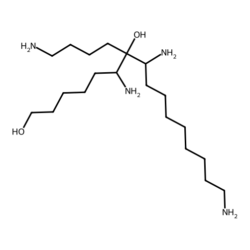 NCCCCCCCCC(N)C(O)(CCCCN)C(N)CCCCCO